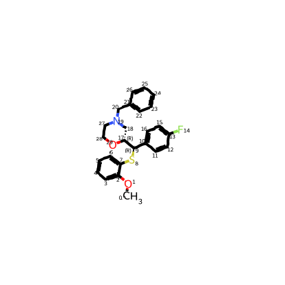 COc1ccccc1S[C@H](c1ccc(F)cc1)[C@H]1CN(Cc2ccccc2)CCO1